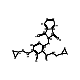 C=C(OCC1CC1)c1c(CN2C(=O)c3ccccc3C2=O)ccc(OCC2CC2)c1F